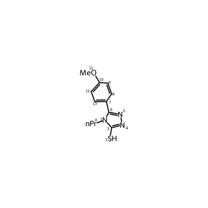 CCCn1c(S)nnc1-c1ccc(OC)cc1